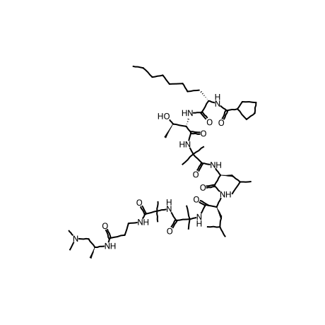 CCCCCCCC[C@H](NC(=O)C1CCCC1)C(=O)N[C@H](C(=O)NC(C)(C)C(=O)N[C@@H](CC(C)C)C(=O)N[C@@H](CC(C)C)C(=O)NC(C)(C)C(=O)NC(C)(C)C(=O)NCCC(=O)N[C@@H](C)CN(C)C)[C@@H](C)O